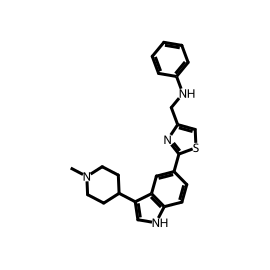 CN1CCC(c2c[nH]c3ccc(-c4nc(CNc5ccccc5)cs4)cc23)CC1